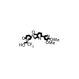 COc1cc(-c2ccc3c(n2)CN(c2ccc(=O)n(C(CO)C(F)(F)F)c2)C3=O)cnc1OC